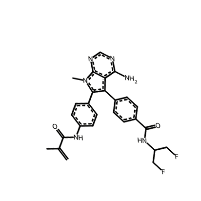 C=C(C)C(=O)Nc1ccc(-c2c(-c3ccc(C(=O)NC(CF)CF)cc3)c3c(N)ncnc3n2C)cc1